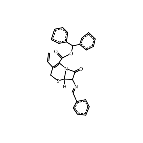 C=CC1=C(C(=O)OC(c2ccccc2)c2ccccc2)N2C(=O)C(N=Cc3ccccc3)[C@@H]2SC1